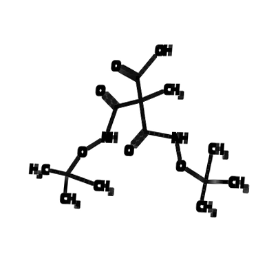 CC(C)(C)ONC(=O)C(C)(C(=O)O)C(=O)NOC(C)(C)C